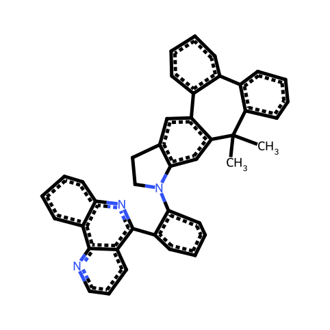 CC1(C)c2ccccc2-c2ccccc2-c2cc3c(cc21)N(c1ccccc1-c1nc2ccccc2c2ncccc12)CC3